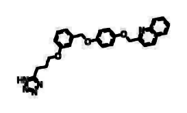 c1cc(COc2ccc(OCc3ccc4ccccc4n3)cc2)cc(OCCCc2nnn[nH]2)c1